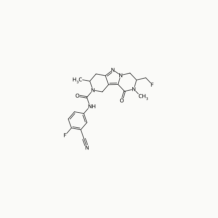 CC1Cc2nn3c(c2CN1C(=O)Nc1ccc(F)c(C#N)c1)C(=O)N(C)C(CF)C3